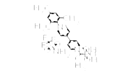 Cc1cc(C)c(-[n+]2ccc(-c3cc[n+](C(C)P(=O)(O)O)cc3)cc2)c(C)c1.NS(=O)(=O)C(F)(F)F